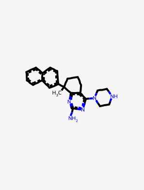 CC1(c2ccc3ccccc3c2)CCCc2c(N3CCNCC3)nc(N)nc21